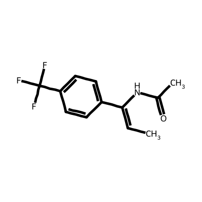 C/C=C(\NC(C)=O)c1ccc(C(F)(F)F)cc1